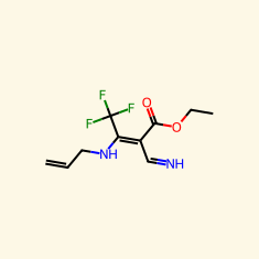 C=CCN/C(=C(\C=N)C(=O)OCC)C(F)(F)F